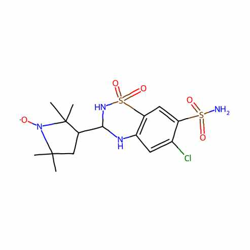 CC1(C)CC(C2Nc3cc(Cl)c(S(N)(=O)=O)cc3S(=O)(=O)N2)C(C)(C)N1[O]